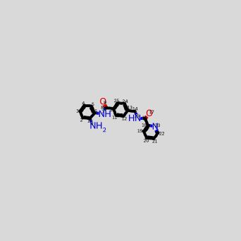 Nc1ccccc1NC(=O)c1ccc(CNC(=O)c2ccccn2)cc1